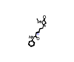 CSN1C(=O)C[C@H]1CC/C=C/C(=O)Nc1ccccc1